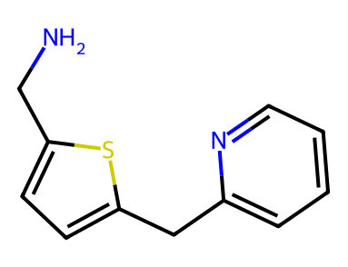 NCc1ccc(Cc2ccccn2)s1